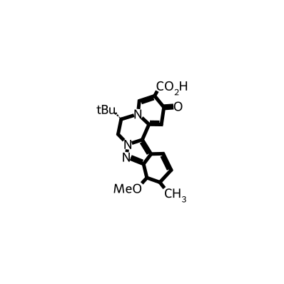 COC1c2nn3c(c2C=CC1C)-c1cc(=O)c(C(=O)O)cn1[C@@H](C(C)(C)C)C3